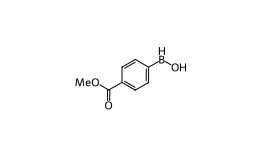 COC(=O)c1ccc(BO)cc1